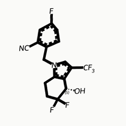 N#Cc1cc(F)ccc1Cn1cc(C(F)(F)F)c2c1CCC(F)(F)[C@H]2O